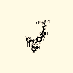 CCCN(CCC)CCCCNS(=O)(=O)c1ccc(CN(Cc2ncc[nH]2)Cc2ncc[nH]2)cc1